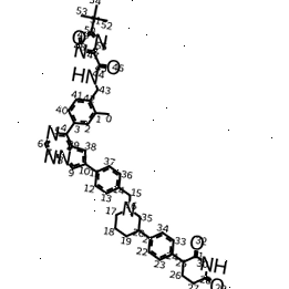 Cc1cc(-c2ncnn3cc(-c4ccc(CN5CCCC(c6ccc(C7CCC(=O)NC7=O)cc6)C5)cc4)cc23)ccc1CNC(=O)c1noc(C(C)(C)C)n1